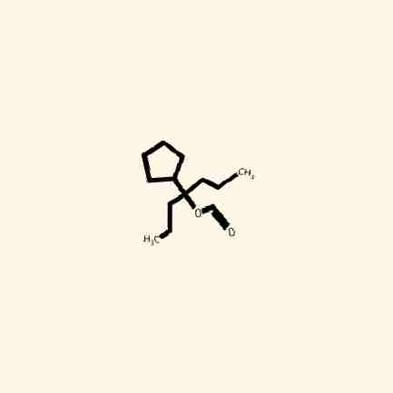 CCCC(CCC)(OC=O)C1CCCC1